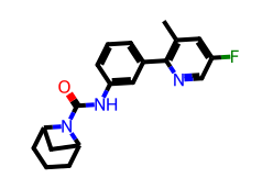 Cc1cc(F)cnc1-c1cccc(NC(=O)N2C3CCCC2C3)c1